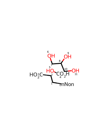 CCCCCCCCCCCC(=O)O.O=C(O)O.OCC(O)CO